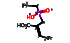 CC(C)C=C(CP(=O)(O)CC(C)C)C(=O)O